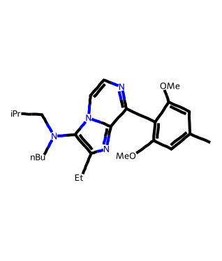 CCCCN(CC(C)C)c1c(CC)nc2c(-c3c(OC)cc(C)cc3OC)nccn12